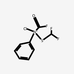 O=C(F)[N+](Cl)(SC(F)F)c1ccccc1